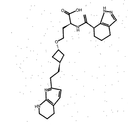 C=C(N[C@@H](CCO[C@H]1C[C@H](CCc2ccc3c(n2)NCCC3)C1)C(=O)O)C1CCCc2cn[nH]c21